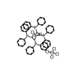 [Cl][Fe]([Cl])([Cl])[Cl].[Cl][Fe]12([Cl])([C@@H](P(c3ccccc3)c3ccccc3)[C@H]1P(c1ccccc1)c1ccccc1)[C@@H](P(c1ccccc1)c1ccccc1)[C@H]2P(c1ccccc1)c1ccccc1